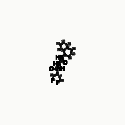 O=C(BNC(=O)C(/C=C\F)=C/F)Nc1cccc2ccccc12